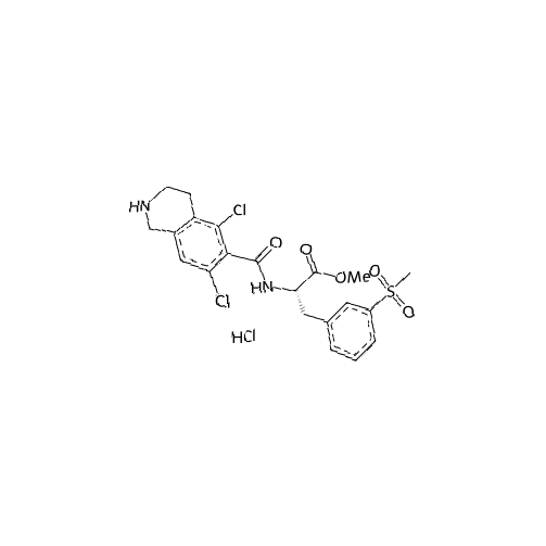 COC(=O)[C@H](Cc1cccc(S(C)(=O)=O)c1)NC(=O)c1c(Cl)cc2c(c1Cl)CCNC2.Cl